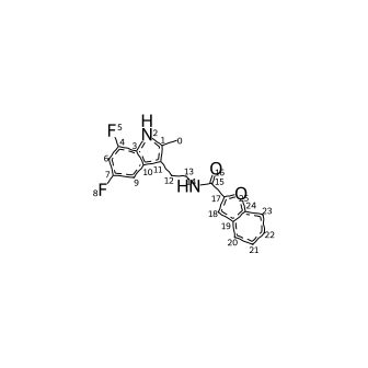 Cc1[nH]c2c(F)cc(F)cc2c1CCNC(=O)c1cc2ccccc2o1